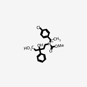 COC(=O)N(CCC(O)(CC(=O)O)c1ccccc1)[C@@H](C)c1ccc(Cl)cc1